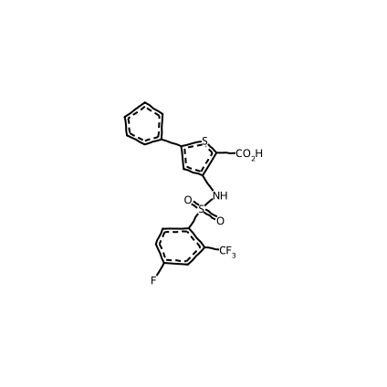 O=C(O)c1sc(-c2ccccc2)cc1NS(=O)(=O)c1ccc(F)cc1C(F)(F)F